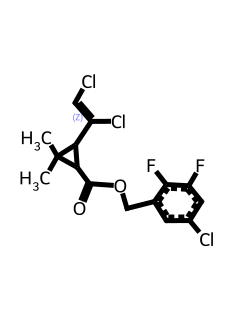 CC1(C)C(C(=O)OCc2cc(Cl)cc(F)c2F)C1/C(Cl)=C/Cl